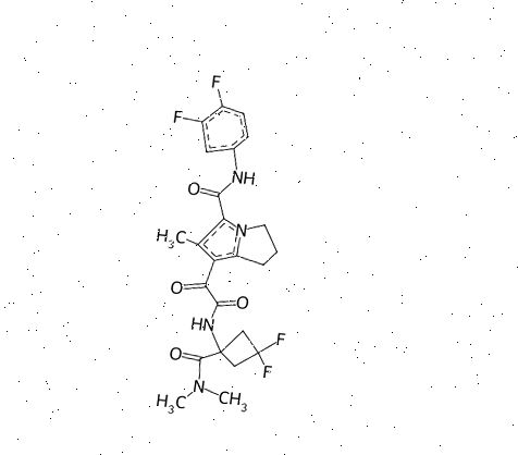 Cc1c(C(=O)C(=O)NC2(C(=O)N(C)C)CC(F)(F)C2)c2n(c1C(=O)Nc1ccc(F)c(F)c1)CCC2